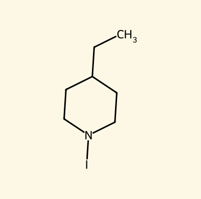 CCC1CCN(I)CC1